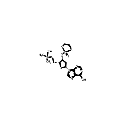 CC(C)(C)[Si](C)(C)OC[C@H]1O[C@@H](n2cnc3c(O)ncnc32)C[C@@H]1OP1(=S)SCCS1